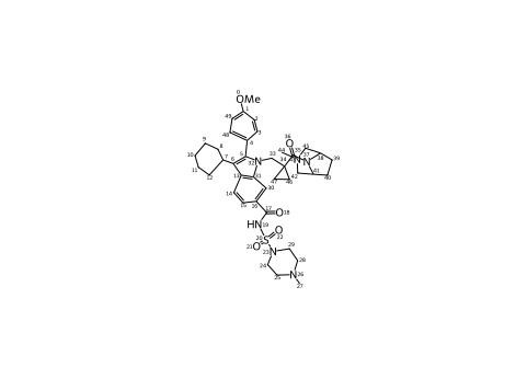 COc1ccc(-c2c(C3CCCCC3)c3ccc(C(=O)NS(=O)(=O)N4CCN(C)CC4)cc3n2CC2(C(=O)N3C4CCC3CN(C)C4)CC2)cc1